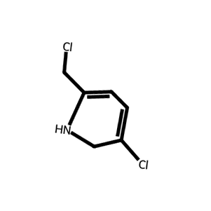 ClCC1=CC=C(Cl)CN1